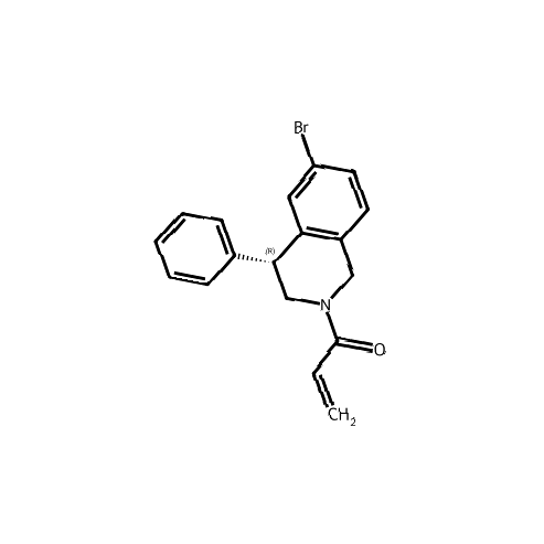 C=CC(=O)N1Cc2ccc(Br)cc2[C@@H](c2ccccc2)C1